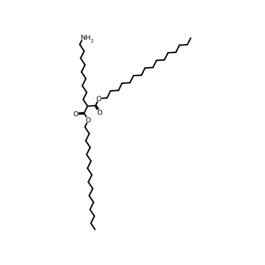 CCCCCCCCCCCCCCCCOC(=O)C(CCCCCCCCCN)C(=O)OCCCCCCCCCCCCCCCC